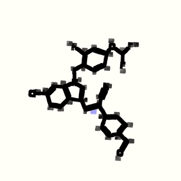 N#C/C(=C\c1cn(Cc2ccc(OC(F)F)cc2F)c2cc(Cl)ccc12)c1ccc(C=O)cc1